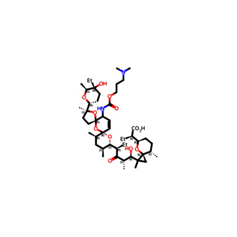 CC[C@@H](C(=O)[C@@H](C)[C@@H](O)C1(C)C[C@]12O[C@@H]([C@@H](CC)C(=O)O)CC[C@@H]2C)[C@H]1O[C@]2(C=CC(NC(=O)OCCCN(C)C)[C@]3(CC[C@@](C)([C@H]4CC[C@](O)(CC)[C@H](C)O4)O3)O2)[C@H](C)C[C@@H]1C